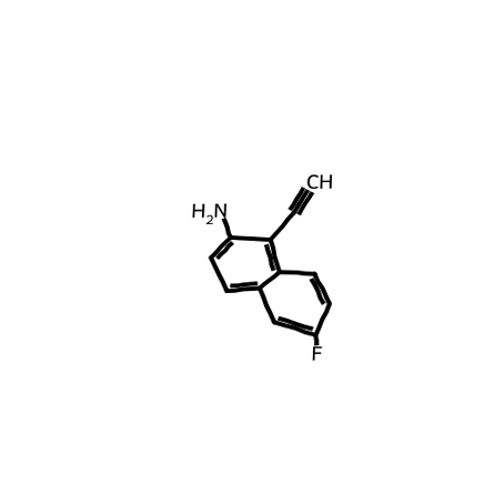 C#Cc1c(N)ccc2cc(F)ccc12